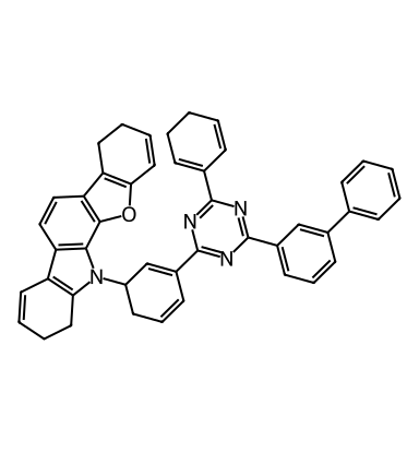 C1=CC(c2nc(C3=CC(n4c5c(c6ccc7c8c(oc7c64)C=CCC8)C=CCC5)CC=C3)nc(-c3cccc(-c4ccccc4)c3)n2)=CCC1